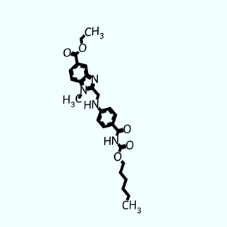 CCCCCCOC(=O)NC(=O)c1ccc(NCc2nc3cc(C(=O)OCC)ccc3n2C)cc1